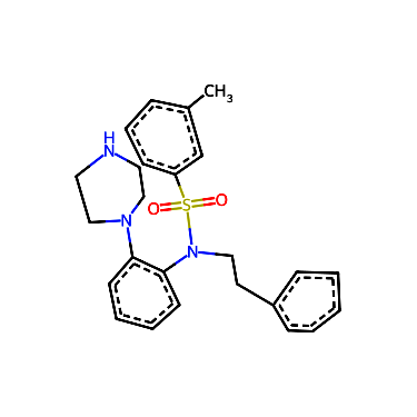 Cc1cccc(S(=O)(=O)N(CCc2ccccc2)c2ccccc2N2CCNCC2)c1